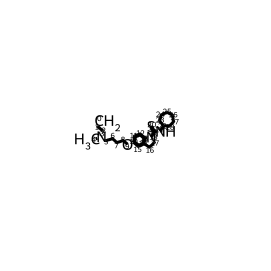 C=CCN(C)CCCCOc1ccc2c(c1)CCN2C(=S)NC1CCCCCC1